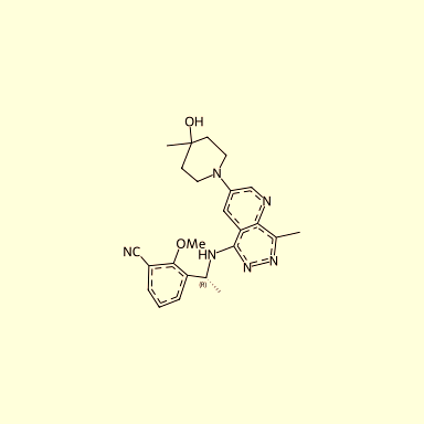 COc1c(C#N)cccc1[C@@H](C)Nc1nnc(C)c2ncc(N3CCC(C)(O)CC3)cc12